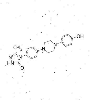 Cc1n[nH]c(=O)n1-c1ccc(N2CCN(c3ccc(O)cc3)CC2)cc1